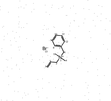 C=CC[N+](C)(C)Cc1ccccc1.[Br-]